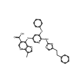 Cc1csc2c(Sc3cnc(Nc4nc(CCc5ccccc5)cs4)c(Oc4ccccc4)c3)c(C(=O)O)cnc12